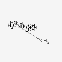 CCCCCCCCCCCCCCCCNCC(C)(C)O.O=P(O)(O)O